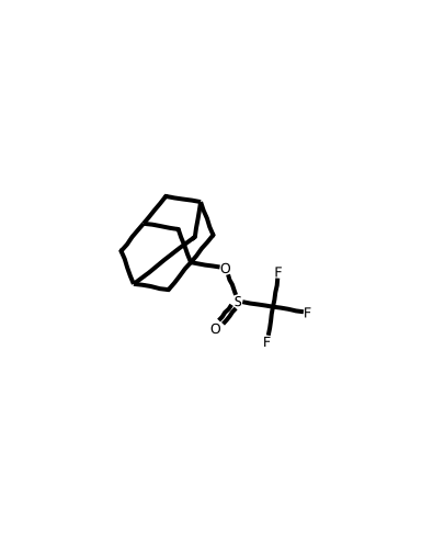 O=S(OC12CC3CC(CC(C3)C1)C2)C(F)(F)F